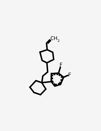 C=CC1CCC(CCC2(c3ccc(F)c(F)c3)CCCCC2)CC1